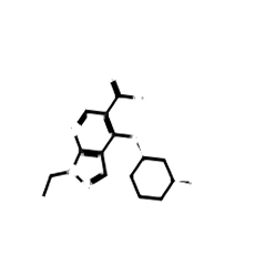 CCn1ncc2c(N[C@@H]3CCC[C@H](O)C3)c(C(=O)O)cnc21